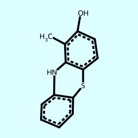 Cc1c(O)ccc2c1Nc1ccccc1S2